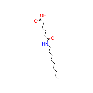 CCCCCCCCCNC(=O)CCCCC(=O)O